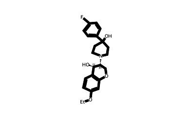 CCOc1ccc2c(c1)OC[C@@H](N1CCC(O)(c3ccc(F)cc3)CC1)[C@H]2O